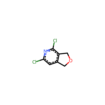 Clc1cc2c(c(Cl)n1)COC2